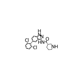 O=C(Nc1n[nH]c2ccc(-c3c(Cl)cccc3Cl)cc12)[C@@H]1CCCNC1